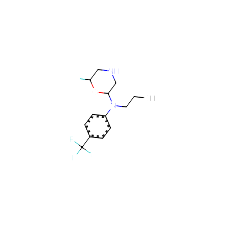 CCCN(c1ccc(C(F)(F)F)cc1)C1CNCC(F)O1